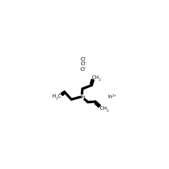 C=C[CH2][In]([CH2]C=C)[CH2]C=C.[Cl-].[Cl-].[Cl-].[In+3]